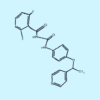 CC(Oc1ccc(NC(=O)NC(=O)c2c(F)cccc2F)cc1)c1ccncc1